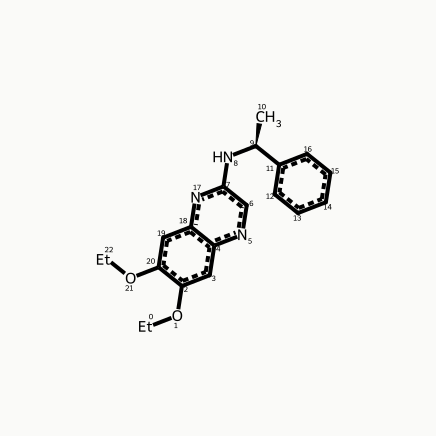 CCOc1cc2ncc(N[C@@H](C)c3ccccc3)nc2cc1OCC